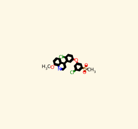 COc1cccc2c(-c3cc(Oc4cc(Cl)cc(S(C)(=O)=O)c4)ccc3Cl)ccnc12